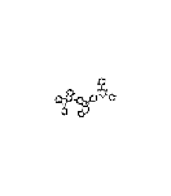 c1ccc(-c2nc(-c3ccccc3)nc(-c3ccc(-n4c5ccc(-c6cc7c(c8ccccc68)c6ccccc6n7-c6ccccc6)cc5c5c6ccccc6ccc54)cc3)n2)cc1